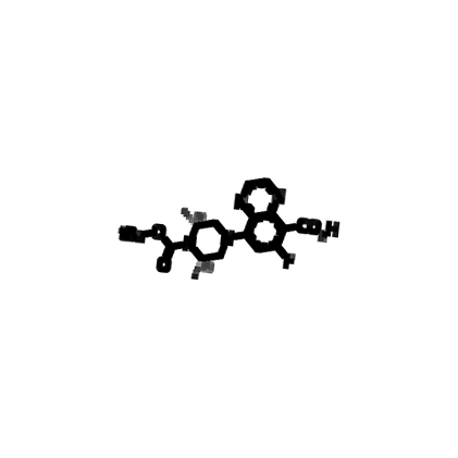 C[C@@H]1CN(c2cc(F)c(C(=O)O)c3nccnc23)C[C@H](C)N1C(=O)OC(C)(C)C